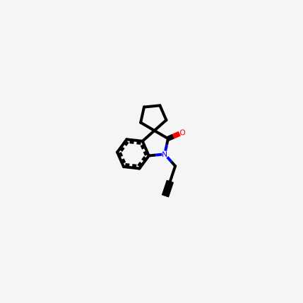 C#CCN1C(=O)C2(CCCC2)c2ccccc21